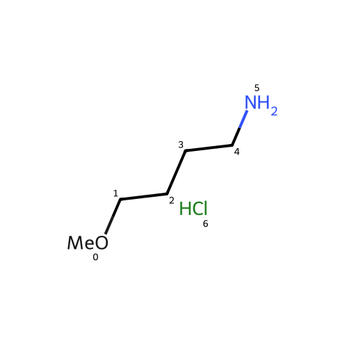 COCCCCN.Cl